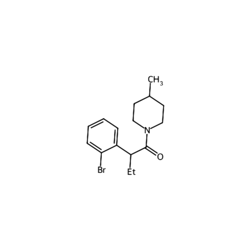 [CH2]CC(C(=O)N1CCC(C)CC1)c1ccccc1Br